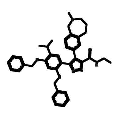 CCNC(=O)c1noc(-c2cc(C(C)C)c(OCc3ccccc3)cc2OCc2ccccc2)c1-c1ccc2c(c1)CCCN(C)C2